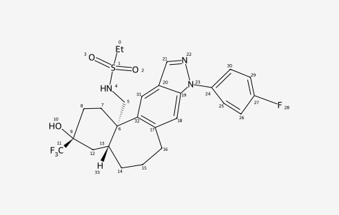 CCS(=O)(=O)NC[C@@]12CC[C@](O)(C(F)(F)F)C[C@H]1CCCc1cc3c(cnn3-c3ccc(F)cc3)cc12